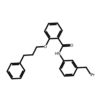 CC(C)Cc1cccc(NC(=O)c2ccccc2OCCCc2ccccc2)c1